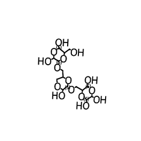 OCC1O[C@H](OCC2COC(O)[C@@H](OCC3O[C@H](O)C(O)O[C@@H]3O)O2)C(O)O[C@@H]1O